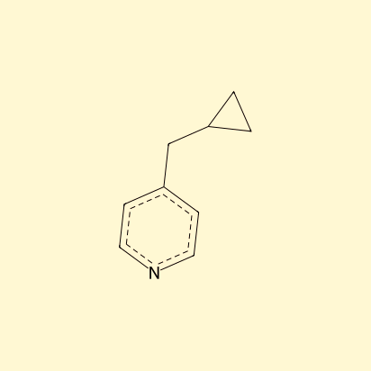 c1cc(CC2CC2)ccn1